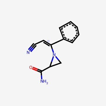 N#C/C=C(/c1ccccc1)N1CC1C(N)=O